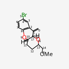 C=C1c2cc(Br)ccc2O[C@H]2CCC(COC)O[C@H]12